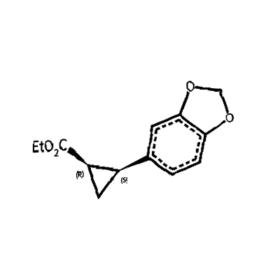 CCOC(=O)[C@@H]1C[C@@H]1c1ccc2c(c1)OCO2